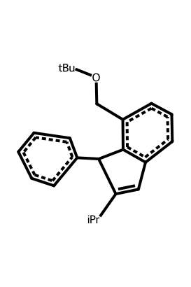 CC(C)C1=Cc2cccc(COC(C)(C)C)c2C1c1ccccc1